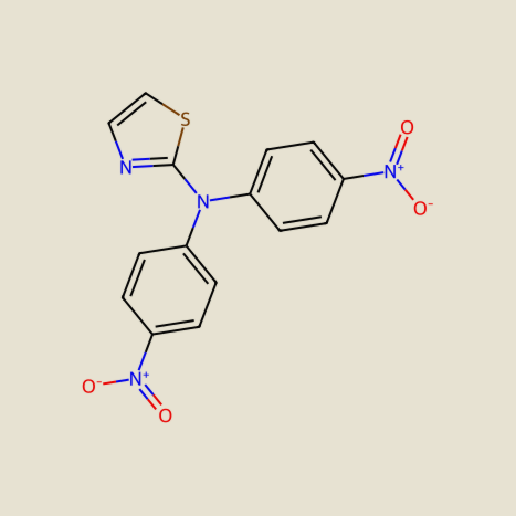 O=[N+]([O-])c1ccc(N(c2ccc([N+](=O)[O-])cc2)c2nccs2)cc1